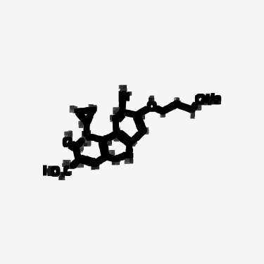 COCCCOc1cc2c(cc1Br)-c1c(cc(C(=O)O)c(=O)n1C1CC1)CS2